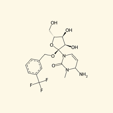 CN1C(=O)N([C@]2(OCc3cccc(C(F)(F)F)c3)O[C@H](CO)[C@@H](O)[C@H]2O)C=CC1N